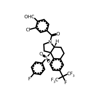 O=Cc1ccc(C(=O)N2CC[C@@]3(S(=O)(=O)c4ccc(F)cc4)c4ccc(C(F)(C(F)(F)F)C(F)(F)F)cc4CC[C@@H]23)cc1Cl